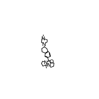 CN1CCN(C2CCc3cc(C(=O)N4CCCC4(C)N4CCCC4)ccc3C2)CC1